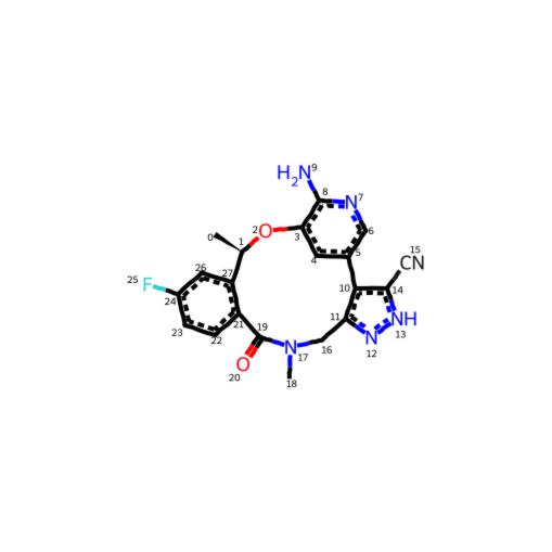 C[C@H]1Oc2cc(cnc2N)-c2c(n[nH]c2C#N)CN(C)C(=O)c2ccc(F)cc21